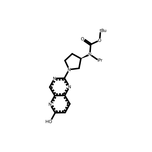 CC(C)N(C(=O)OC(C)(C)C)[C@@H]1CCN(c2ncc3nc(O)ccc3n2)C1